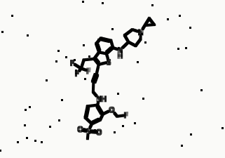 CS(=O)(=O)c1ccc(NCC#Cc2sc3c(NC4CCN(C5CC5)CC4)cccc3c2CC(F)(F)F)c(OCF)c1